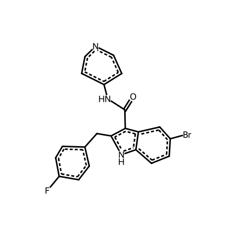 O=C(Nc1ccncc1)c1c(Cc2ccc(F)cc2)[nH]c2ccc(Br)cc12